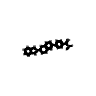 CN(C)C(=O)c1ccc(-c2ccc3c(c2)CCC(N2Cc4ccccc4C2)C3)cc1